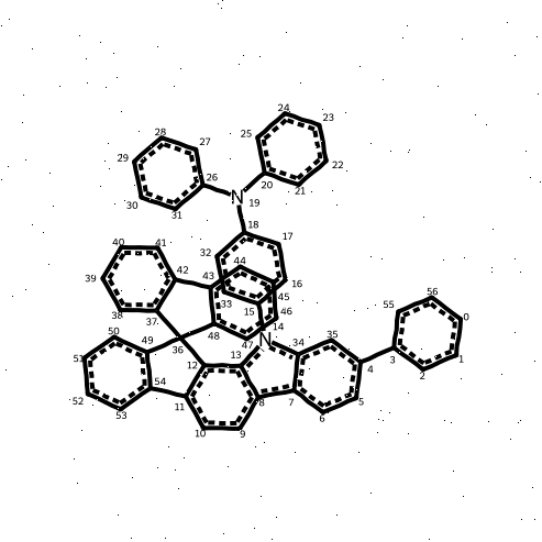 c1ccc(-c2ccc3c4ccc5c(c4n(-c4ccc(N(c6ccccc6)c6ccccc6)cc4)c3c2)C2(c3ccccc3-c3ccccc32)c2ccccc2-5)cc1